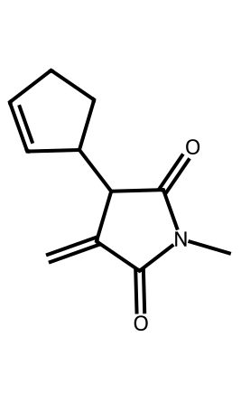 C=C1C(=O)N(C)C(=O)C1C1C=CCC1